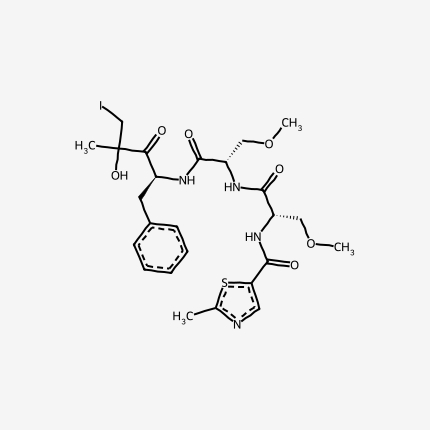 COC[C@H](NC(=O)c1cnc(C)s1)C(=O)N[C@@H](COC)C(=O)N[C@@H](Cc1ccccc1)C(=O)C(C)(O)CI